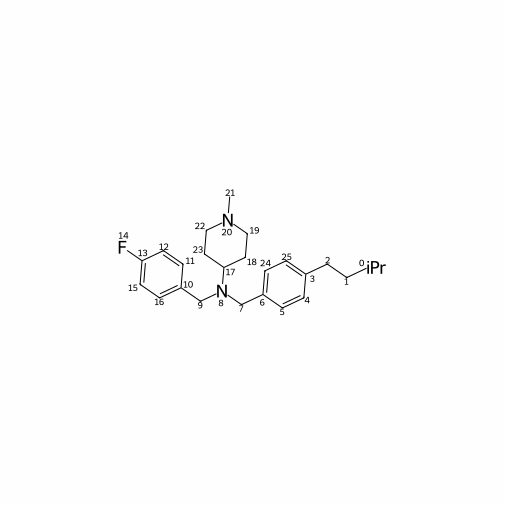 CC(C)CCc1ccc(CN(Cc2ccc(F)cc2)C2CCN(C)CC2)cc1